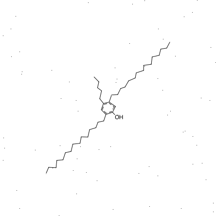 CCCCCCCCCCCCCCCc1cc(CCCCC)c(CCCCCCCCCCCCCCC)cc1O